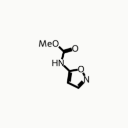 COC(=O)Nc1ccno1